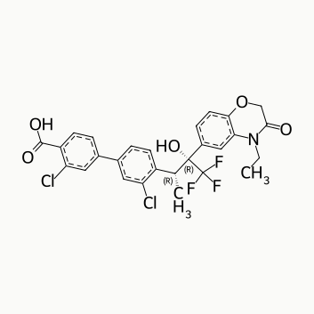 CCN1C(=O)COc2ccc([C@](O)([C@H](C)c3ccc(-c4ccc(C(=O)O)c(Cl)c4)cc3Cl)C(F)(F)F)cc21